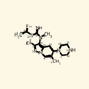 CCc1nn2cc(C)c(N3CCNCC3)cc2c1N(C)C(=N)SC(C)F